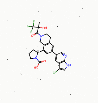 CC(O)(C(=O)N1CCc2cc(-c3cnc4[nH]cc(Cl)c4c3)cc([C@@H]3CCCN3C(=O)O)c2C1)C(F)(F)F